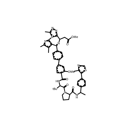 COC(=O)CC1N=C(c2ccc(-c3ccc(C(=O)NC(C(=O)N4CCCC4C(=O)NC(C)c4ccc(-c5scnc5C)cc4)C(C)(C)C)c(OC)c3)cc2)c2c(sc(C)c2C)-n2c(C)nnc21